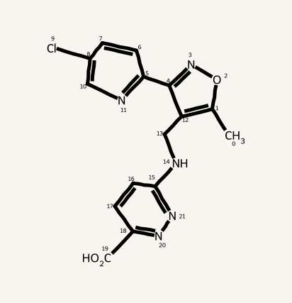 Cc1onc(-c2ccc(Cl)cn2)c1CNc1ccc(C(=O)O)nn1